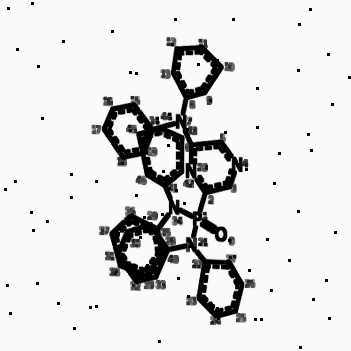 O=P(c1cncc(N(c2ccccc2)c2ccccc2)n1)(N(c1ccccc1)c1ccccc1)N(c1ccccc1)c1ccccc1